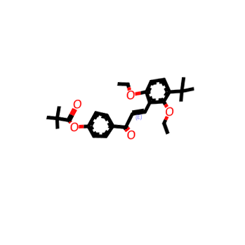 CCOc1ccc(C(C)(C)C)c(OCC)c1/C=C/C(=O)c1ccc(OC(=O)C(C)(C)C)cc1